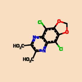 O=C(O)c1nc2c(Cl)c3c(c(Cl)c2nc1C(=O)O)OCO3